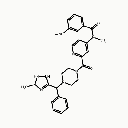 CC(=O)Nc1cccc(C(=O)N(C)c2ccnc(C(=O)N3CCN(C(C4=NN(C)NN4)c4ccccc4)CC3)c2)c1